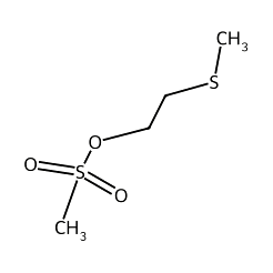 CSCCOS(C)(=O)=O